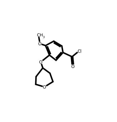 COc1ccc(C(=O)Cl)cc1OC1CCOCC1